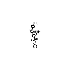 CC(C)(C)NS(=O)(=O)c1cc(NC(=O)OCC2CCCCC2)ccc1-c1cnc(-c2ccc(N)cc2)s1